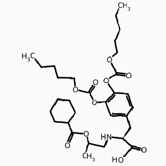 CCCCCOC(=O)Oc1ccc(C[C@H](NCC(C)OC(=O)C2CCCCC2)C(=O)O)cc1OC(=O)OCCCCC